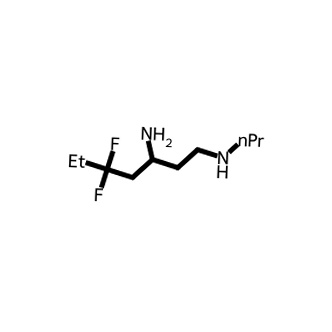 CCCNCCC(N)CC(F)(F)CC